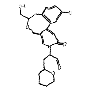 O=CC(CC1CCCCO1)n1cc2c(cc1=O)-c1cc(Cl)ccc1CC(CO)OC2